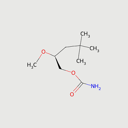 CO[C@H](COC(N)=O)CC(C)(C)C